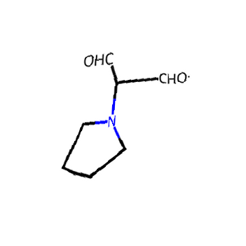 O=[C]C(C=O)N1CCCC1